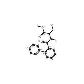 CCC(C(=O)OC)N(C)C(=O)c1ccccc1-c1ccccc1